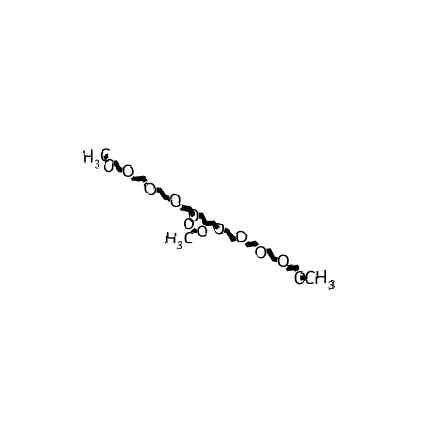 COCCOCCOCCOCCOCC(COCCOCCOCCOCCOC)OC(C)=O